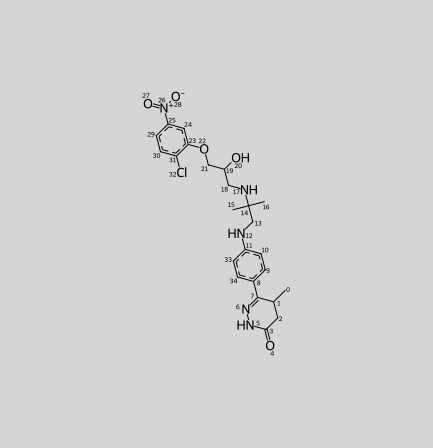 CC1CC(=O)NN=C1c1ccc(NCC(C)(C)NCC(O)COc2cc([N+](=O)[O-])ccc2Cl)cc1